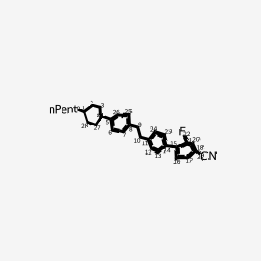 CCCCCC1CCC(c2ccc(CCc3ccc(-c4ccc(C#N)cc4F)cc3)cc2)CC1